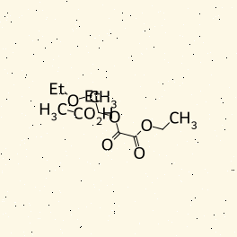 CC(=O)O.CCOC(=O)C(=O)OCC.CCOCC